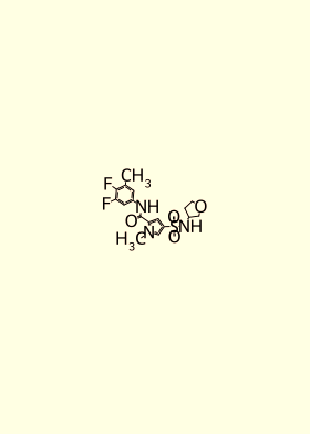 Cc1cc(NC(=O)c2cc(S(=O)(=O)N[C@H]3CCOC3)cn2C)cc(F)c1F